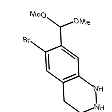 COC(OC)c1cc2c(cc1Br)CCNN2